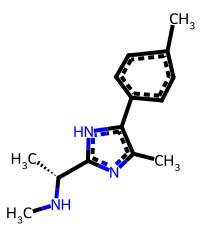 CN[C@H](C)c1nc(C)c(-c2ccc(C)cc2)[nH]1